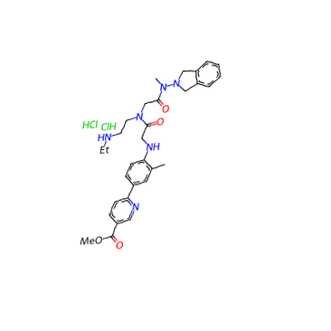 CCNCCN(CC(=O)N(C)N1Cc2ccccc2C1)C(=O)CNc1ccc(-c2ccc(C(=O)OC)cn2)cc1C.Cl.Cl